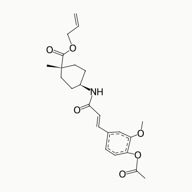 C=CCOC(=O)[C@]1(C)CC[C@@H](NC(=O)C=Cc2ccc(OC(C)=O)c(OC)c2)CC1